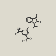 CC(C)N1C(=O)C(=O)c2ccccc21.Cc1cc(C(=O)O)cc(C(=O)O)c1